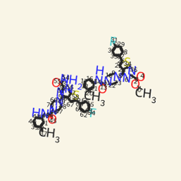 CCOC(=O)c1nc(N2CCN(C(=O)Nc3cccc(C)c3)CC2)c2cc(-c3ccc(F)cc3)sc2n1.Cc1cccc(NC(=O)N2CCN(c3nc(C(N)=O)nc4sc(-c5ccc(F)cc5)cc34)CC2)c1